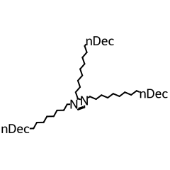 CCCCCCCCCCCCCCCCCCCC1N(CCCCCCCCCCCCCCCCCC)C=CN1CCCCCCCCCCCCCCCCCCC